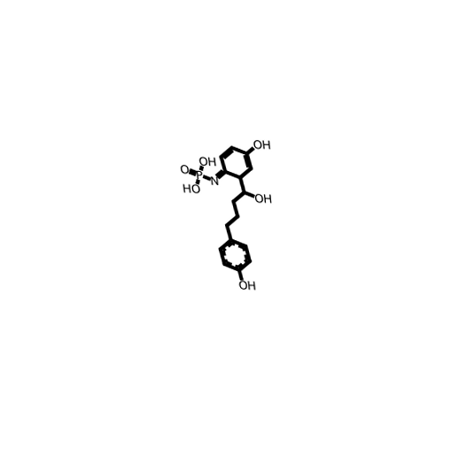 O=P(O)(O)N=C1C=CC(O)=CC1C(O)CCCc1ccc(O)cc1